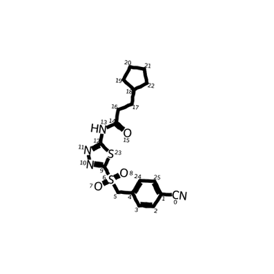 N#Cc1ccc(CS(=O)(=O)c2nnc(NC(=O)CCC3CCCC3)s2)cc1